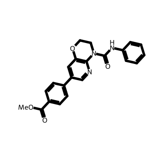 COC(=O)c1ccc(-c2cnc3c(c2)OCCN3C(=O)Nc2ccccc2)cc1